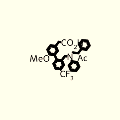 COc1ccc(CC(=O)O)cc1-c1ccc(C(F)(F)F)cc1CN(CCc1ccccc1)c1ccccc1C(C)=O